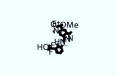 CCC1(OC)C(=O)N(C)c2cc3c(N[C@H](C)c4cccc(C(F)(F)C(C)(C)O)c4C)nnc(C)c3cc21